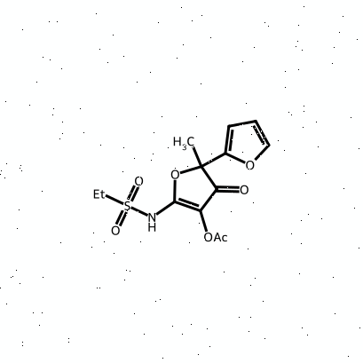 CCS(=O)(=O)NC1=C(OC(C)=O)C(=O)C(C)(c2ccco2)O1